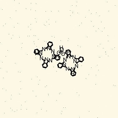 O=[PH](Oc1cccc2c3nc4nc(nc5[nH]c(nc6nc(nc([nH]3)c12)-c1ccccc1-6)c1ccccc51)-c1ccccc1-4)Oc1cccc2c3nc4nc(nc5[nH]c(nc6nc(nc([nH]3)c12)-c1ccccc1-6)c1ccccc51)-c1ccccc1-4